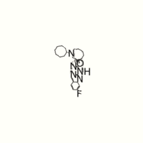 Fc1ccc2cnc(NC3=NC[C@]4(CCCCCN(C5CCCCCCC5)C4)O3)nc2c1